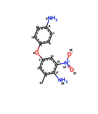 Cc1cc(Oc2ccc(N)cc2)cc([N+](=O)[O-])c1N